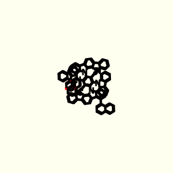 N#Cc1c(-n2c3ccccc3c3ccccc32)c(-n2c3cccc(-c4cccc5ccccc45)c3c3ccc4c5ccccc5sc4c32)c(C#N)c(-n2c3ccccc3c3ccccc32)c1-n1c2cc(-c3ccccc3-c3cccc4ccccc34)ccc2c2ccc3c4ccccc4sc3c21